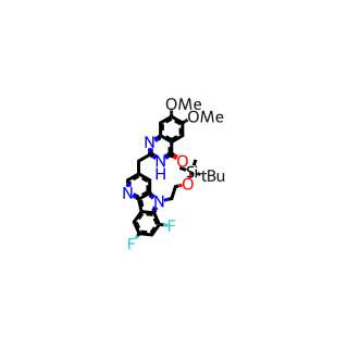 COc1cc2nc(Cc3cnc4c5cc(F)cc(F)c5n(CCO[Si](C)(C)C(C)(C)C)c4c3)[nH]c(=O)c2cc1OC